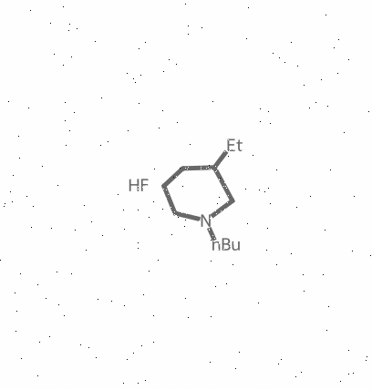 CCCCN1CCCC(CC)C1.F